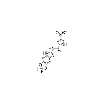 O=C(Nc1nc2cc3c(cc2[nH]1)OC(F)(F)O3)c1cc([N+](=O)[O-])c[nH]1